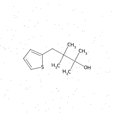 CC(C)(O)C(C)(C)Cc1cccs1